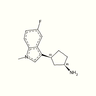 Cn1cc([C@H]2CC[C@@H](N)C2)c2cc(F)ccc21